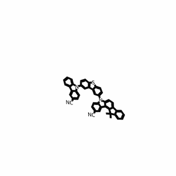 CC1(C)c2ccccc2-c2ccc3c(c21)c1cc(C#N)ccc1n3-c1ccc2sc3ccc(-n4c5ccccc5c5cc(C#N)ccc54)cc3c2c1